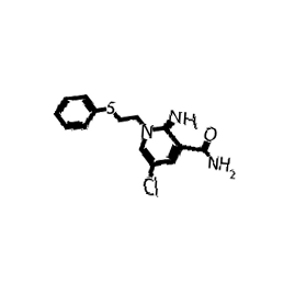 N=c1c(C(N)=O)cc(Cl)cn1CCSc1ccccc1